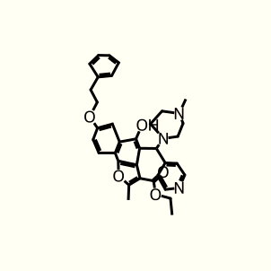 CCOC(=O)c1c(C)oc2c1c(C(c1ccncc1)N1CCN(C)CC1)c(O)c1cc(OCCc3ccccc3)ccc12